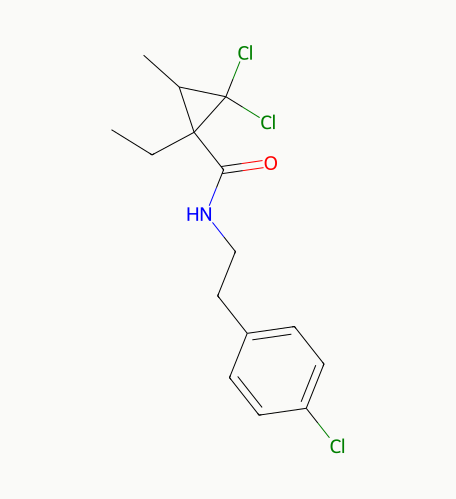 CCC1(C(=O)NCCc2ccc(Cl)cc2)C(C)C1(Cl)Cl